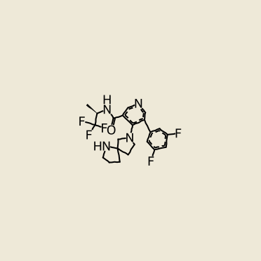 C[C@@H](NC(=O)c1cncc(-c2cc(F)cc(F)c2)c1N1CCC2(CCCN2)C1)C(F)(F)F